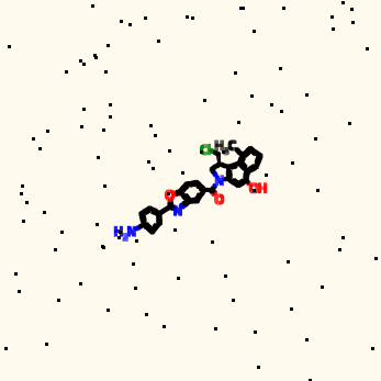 Cc1cccc2c(O)cc3c(c12)[C@H](CCl)CN3C(=O)c1ccc2oc(-c3ccc(N)cc3)nc2c1